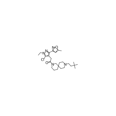 CCn1nc(-c2cc(C)on2)c(CC(=O)N2CCCC3(CCN(CCC(C)(C)C)CC3)C2)c1Cl